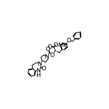 COC(=O)[C@@H](Cc1ccc(OCc2ccccc2)cc1)OC(=O)N1CCC(N2CCc3ccccc3NC2=O)CC1